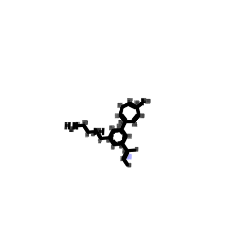 C/C=C(\C)c1cc(CNCCN)cc(C2=CCC=C(F)C=C2)c1